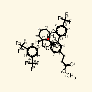 COC(=O)CCc1ccc(OC)c(-c2ccc(C(F)(F)F)cc2[C@@H]2CCC[C@H]3[C@@H](c4cc(C(F)(F)F)cc(C(F)(F)F)c4)OC(=O)N23)c1